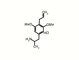 C=CCc1c(OC)cc(CC(C)N)cc1OC.Cl